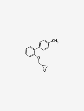 Cc1ccc(-c2ccccc2OCC2CO2)cc1